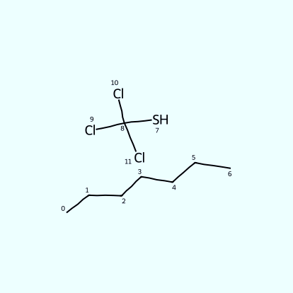 CCCCCCC.SC(Cl)(Cl)Cl